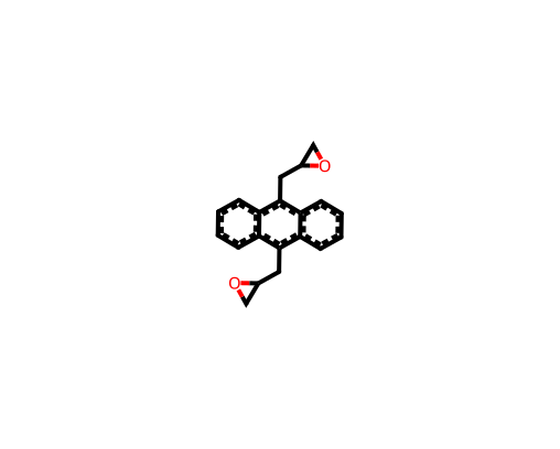 c1ccc2c(CC3CO3)c3ccccc3c(CC3CO3)c2c1